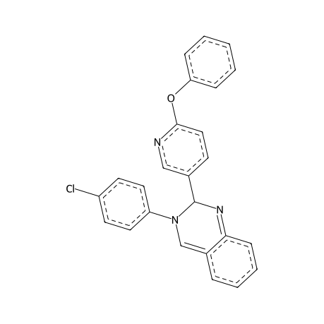 Clc1ccc(N2C=c3ccccc3=NC2c2ccc(Oc3ccccc3)nc2)cc1